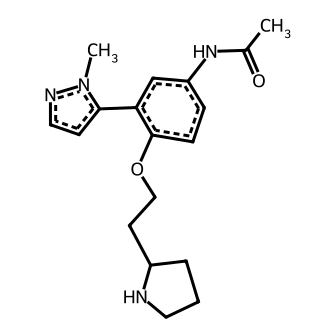 CC(=O)Nc1ccc(OCCC2CCCN2)c(-c2ccnn2C)c1